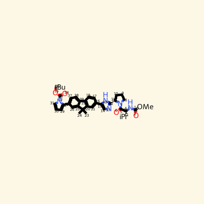 COC(=O)N[C@H](C(=O)N1CCC[C@H]1c1ncc(-c2ccc3c(c2)C(C)(C)c2cc(-c4cccn4C(=O)OC(C)(C)C)ccc2-3)[nH]1)C(C)C